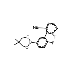 CC1(C)COB(c2ccc(F)c(-c3c(F)cccc3C#N)c2)OC1